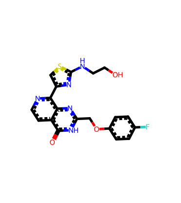 O=c1[nH]c(COc2ccc(F)cc2)nc2c(-c3csc(NCCO)n3)nccc12